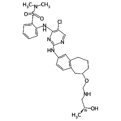 C[C@H](O)CNCOC1CCCc2cc(Nc3ncc(Cl)c(Nc4ccccc4S(=O)(=O)N(C)C)n3)ccc2C1